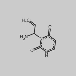 C=CC(N)n1c(=O)cc[nH]c1=O